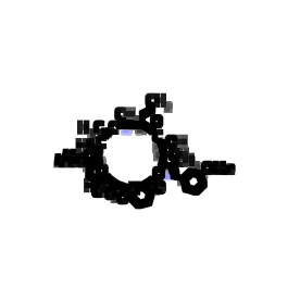 C=CC[C@@H]1/C=C(\C)C[C@H](C)C[C@@](S)(OC)[C@H]2O[C@@](O)(C(=O)C(=O)N3CCCC[C@H]3C(=O)O[C@H](/C(C)=C/[C@@H]3CCC[C@H](OC)C3)[C@H](C)[C@@H](O)CC1=O)[C@H](C)C[C@@H]2OC